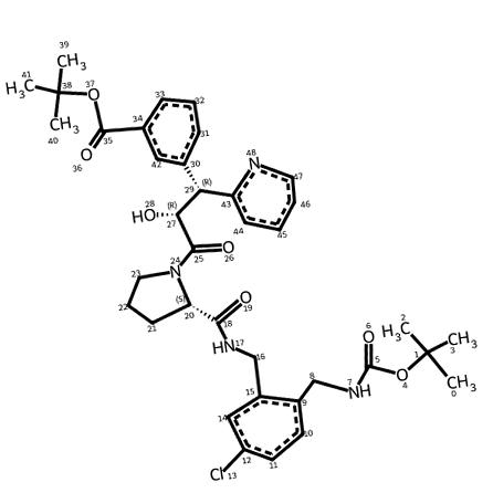 CC(C)(C)OC(=O)NCc1ccc(Cl)cc1CNC(=O)[C@@H]1CCCN1C(=O)[C@H](O)[C@H](c1cccc(C(=O)OC(C)(C)C)c1)c1ccccn1